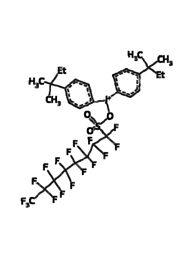 CCC(C)(C)c1ccc([I+](OS(=O)(=O)C(F)(F)C(F)(F)C(F)(F)C(F)(F)C(F)(F)C(F)(F)C(F)(F)C(F)(F)F)c2ccc(C(C)(C)CC)cc2)cc1